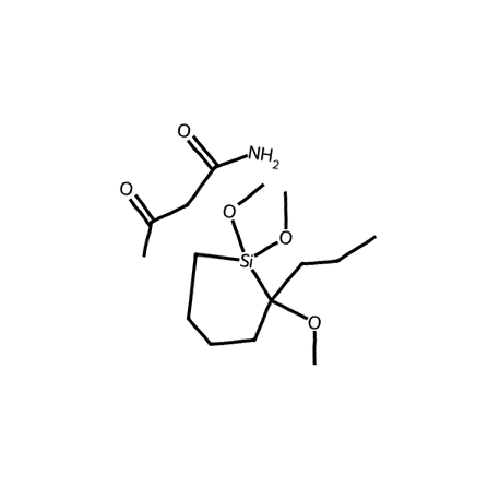 CC(=O)CC(N)=O.CCCC1(OC)CCCC[Si]1(OC)OC